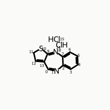 C1=Nc2ccccc2N=C2SCC=C12.Cl.Cl